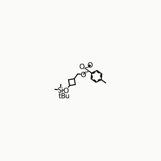 Cc1ccc(S(=O)(=O)OCC2CC(O[Si](C)(C)C(C)(C)C)C2)cc1